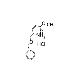 COC(=O)/C=C\[C@H](N)COCc1ccccc1.Cl